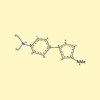 CNc1csc(-c2ccc(N(C)C)cc2)c1